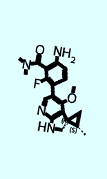 COc1c(-c2ccc(N)c(C(=O)N(C)C)c2F)cnc2c1[C@@]1(CN2)C[C@@H]1C